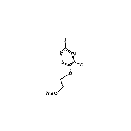 COCCOc1ccc(I)nc1Cl